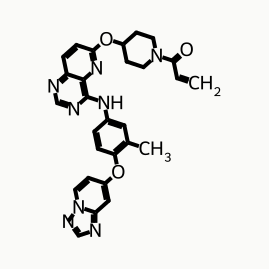 C=CC(=O)N1CCC(Oc2ccc3ncnc(Nc4ccc(Oc5ccn6ncnc6c5)c(C)c4)c3n2)CC1